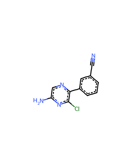 N#Cc1cccc(-c2ncc(N)nc2Cl)c1